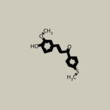 COc1cc(/C=C/C(=O)c2ccc(SC)cc2)ccc1O